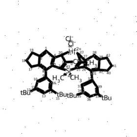 CC1=C2c3c(cc4c(c3-c3cc(C(C)(C)C)cc(C(C)(C)C)c3)CCC4)[CH]1[Hf+2][CH]1C(C)=C(c3c1cc1c(c3-c3cc(C(C)(C)C)cc(C(C)(C)C)c3)CCC1)[Si]2(C)C.[Cl-].[Cl-]